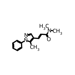 Cc1c(C=CC(=O)N(C)C)cnn1-c1ccccc1